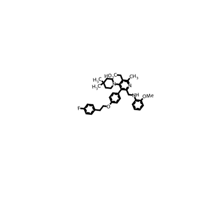 COc1ccccc1NCc1nc(C)c(CC(=O)O)c(N2CCC(C)(C)CC2)c1-c1ccc(OCCc2ccc(F)cc2)cc1